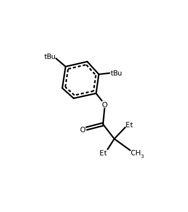 CCC(C)(CC)C(=O)Oc1ccc(C(C)(C)C)cc1C(C)(C)C